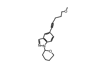 COCCCC#Cc1ccc2c(cnn2C2CCCCO2)c1